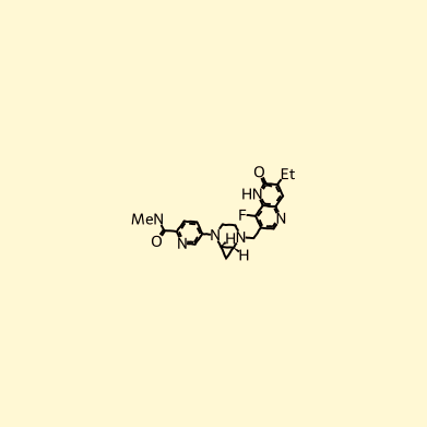 CCc1cc2ncc(CN3CCN(c4ccc(C(=O)NC)nc4)[C@H]4C[C@H]43)c(F)c2[nH]c1=O